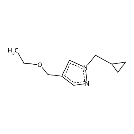 CCOCc1cnn(CC2CC2)c1